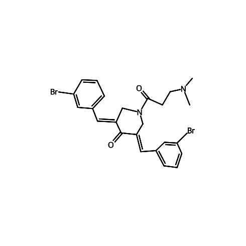 CN(C)CCC(=O)N1C/C(=C\c2cccc(Br)c2)C(=O)/C(=C/c2cccc(Br)c2)C1